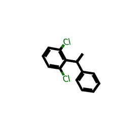 C[C](c1ccccc1)c1c(Cl)cccc1Cl